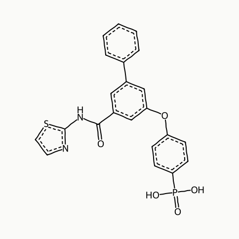 O=C(Nc1nccs1)c1cc(Oc2ccc(P(=O)(O)O)cc2)cc(-c2ccccc2)c1